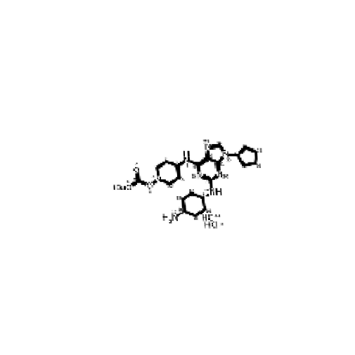 CC(C)COC(=O)ON1CCC(Nc2nc(N[C@H]3CC[C@H](N)CC3)nc3c2ncn3C2CCCC2)CC1.Cl.Cl